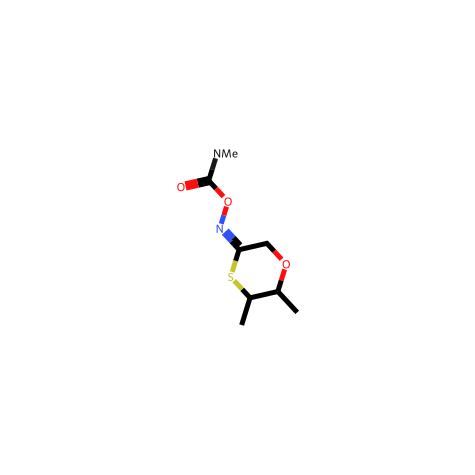 CNC(=O)ON=C1COC(C)C(C)S1